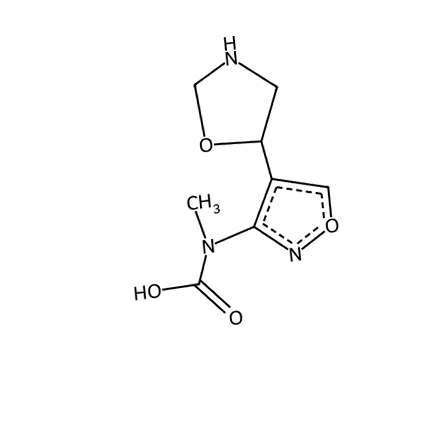 CN(C(=O)O)c1nocc1C1CNCO1